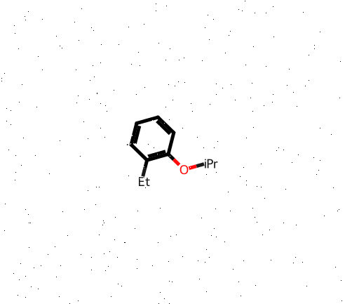 CCc1[c]cccc1OC(C)C